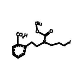 CC(C)(C)OC(=O)N(CCCI)CCc1ccccc1C(=O)O